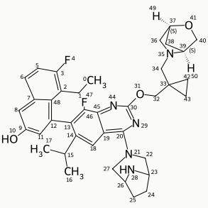 CCc1c(F)ccc2cc(O)cc(-c3c(C(C)C)cc4c(N5CC6CCC(C5)N6)nc(OCC5(CN6C[C@@H]7C[C@H]6CO7)CC5)nc4c3F)c12